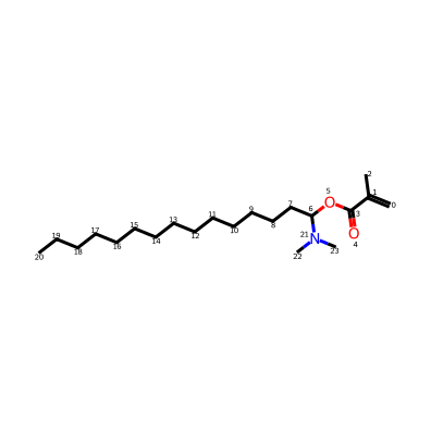 C=C(C)C(=O)OC(CCCCCCCCCCCCCC)N(C)C